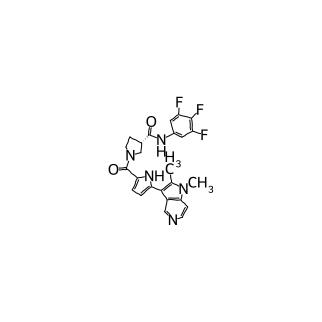 Cc1c(-c2ccc(C(=O)N3CC[C@H](C(=O)Nc4cc(F)c(F)c(F)c4)C3)[nH]2)c2cnccc2n1C